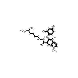 CC(CCCCONC(=O)c1cc2c(ncn2C)c(F)c1Nc1ccc(Br)cc1Cl)C(=O)O